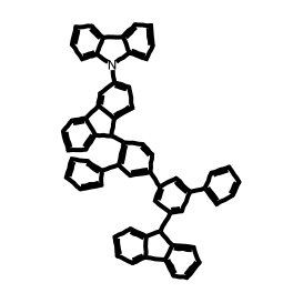 c1ccc(-c2cc(-c3ccc(C4c5ccccc5-c5cc(-n6c7ccccc7c7ccccc76)ccc54)c(-c4ccccc4)c3)cc(C3c4ccccc4-c4ccccc43)c2)cc1